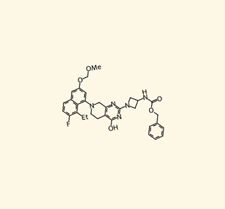 CCc1c(F)ccc2cc(OCOC)cc(N3CCc4c(O)nc(N5CC(NC(=O)OCc6ccccc6)C5)nc4C3)c12